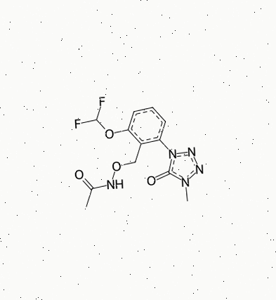 CC(=O)NOCc1c(OC(F)F)cccc1-n1nnn(C)c1=O